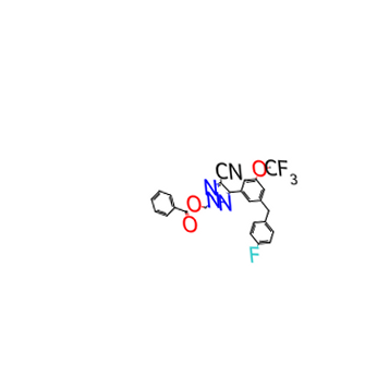 N#Cc1nn(COC(=O)c2ccccc2)nc1-c1cc(Cc2ccc(F)cc2)cc(OC(F)(F)F)c1